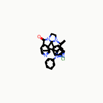 C=C(c1cnn(-c2ccccc2)c1CCC)N1CCN2C(=O)c3ccncc3C12c1ccc(Cl)cc1